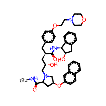 CC(C)(C)NC(=O)C1C[C@H](Oc2ccc3ccccc3c2)CN1C[C@@H](O)C[C@@H](Cc1ccc(OCCN2CCOCC2)cc1)C(=O)N[C@H]1c2ccccc2C[C@H]1O